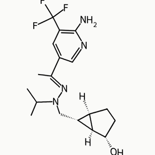 C/C(=N\N(C[C@@H]1[C@H]2CC[C@H](O)[C@H]21)C(C)C)c1cnc(N)c(C(F)(F)F)c1